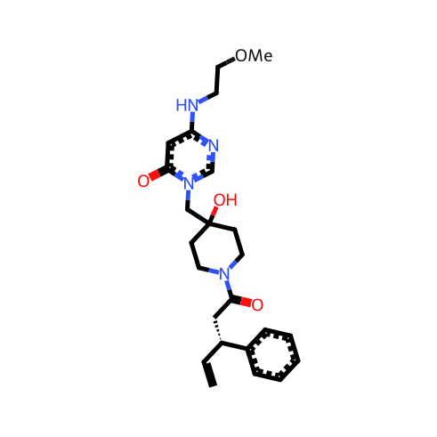 C=C[C@H](CC(=O)N1CCC(O)(Cn2cnc(NCCOC)cc2=O)CC1)c1ccccc1